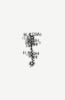 COc1cc(C)c(S(=O)(=O)NC(=N)NCCC[C@H](N)C(O)C(=O)NCCc2ccccc2)c(C)c1C